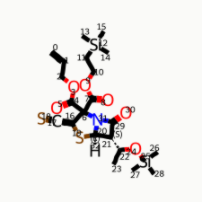 C=CCOC(=O)C1(C(=O)OCC[Si](C)(C)C)C(=C=S)S[C@@H]2[C@@H](C(C)O[Si](C)(C)C)C(=O)N21